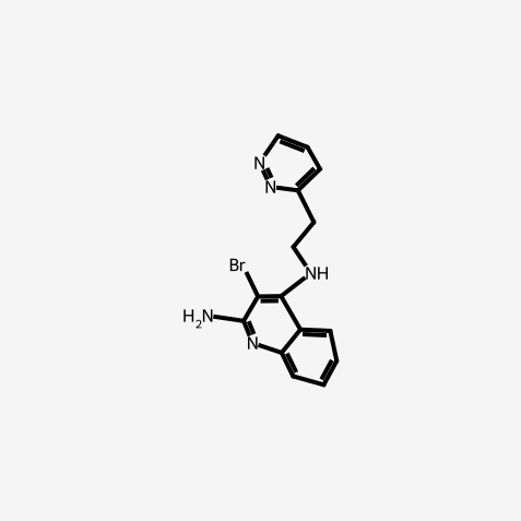 Nc1nc2ccccc2c(NCCc2cccnn2)c1Br